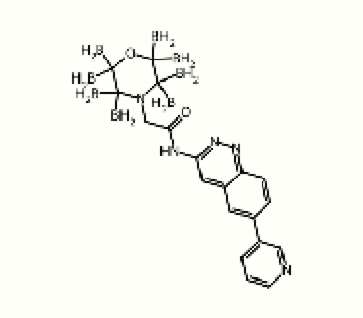 BC1(B)OC(B)(B)C(B)(B)N(CC(=O)Nc2cc3cc(-c4cccnc4)ccc3nn2)C1(B)B